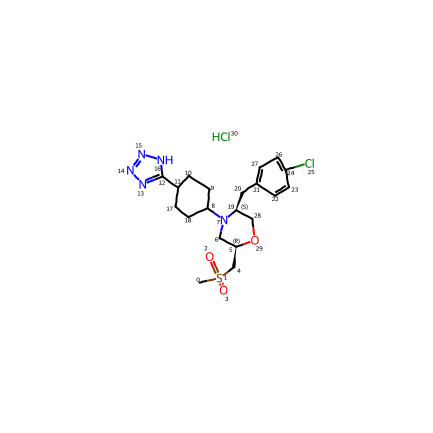 CS(=O)(=O)C[C@H]1CN(C2CCC(c3nnn[nH]3)CC2)[C@@H](Cc2ccc(Cl)cc2)CO1.Cl